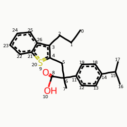 CCCc1c(CC(C)(C(=O)O)c2ccc(C(C)C)cc2)sc2ccccc12